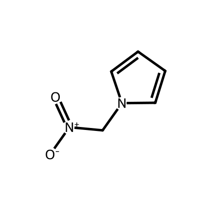 O=[N+]([O-])Cn1cccc1